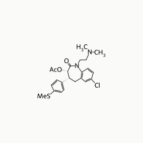 CSc1ccc([C@H]2Cc3cc(Cl)ccc3N(CCN(C)C)C(=O)[C@H]2OC(C)=O)cc1